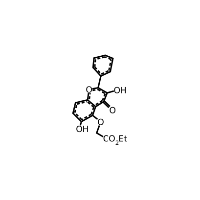 CCOC(=O)COc1c(O)ccc2oc(-c3ccccc3)c(O)c(=O)c12